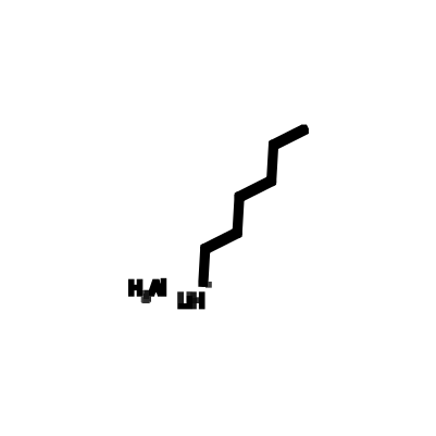 [AlH3].[CH2]CCCCCC.[LiH]